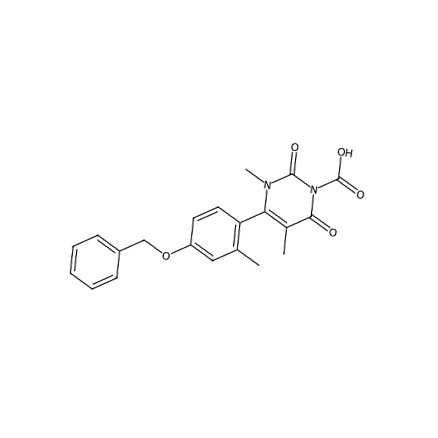 Cc1cc(OCc2ccccc2)ccc1-c1c(C)c(=O)n(C(=O)O)c(=O)n1C